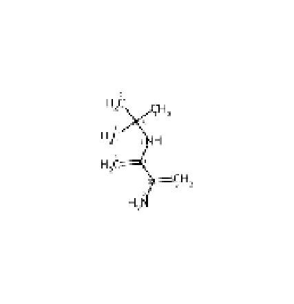 C=C(N)C(=C)NC(C)(C)C